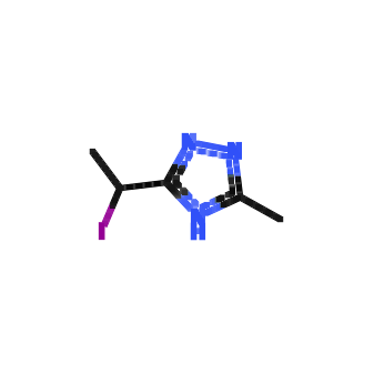 Cc1nnc(C(C)I)[nH]1